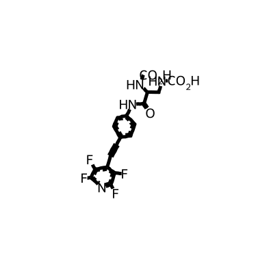 O=C(O)NCC(NC(=O)O)C(=O)Nc1ccc(C#Cc2c(F)c(F)nc(F)c2F)cc1